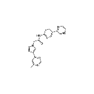 Cc1cc(-c2cnn(CC(=O)NC3=NC=C(c4cnccn4)CC3)c2)ncn1